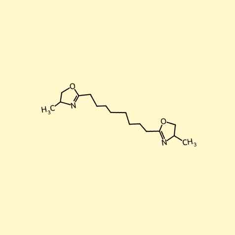 CC1COC(CCCCCCCCC2=NC(C)CO2)=N1